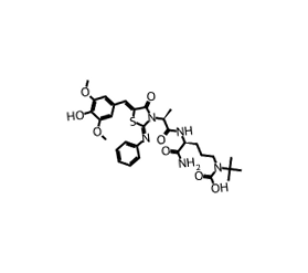 COc1cc(/C=C2\S/C(=N\c3ccccc3)N([C@@H](C)C(=O)N[C@@H](CCCN(C(=O)O)C(C)(C)C)C(N)=O)C2=O)cc(OC)c1O